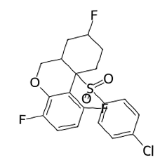 O=S(=O)(c1ccc(Cl)cc1)C12CCC(F)CC1COc1c(F)ccc(F)c12